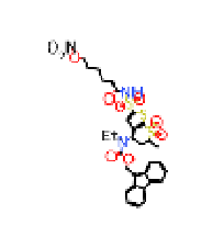 CCN(C(=O)OCC1c2ccccc2-c2ccccc21)[C@H]1CC(C)S(=O)(=O)c2sc(S(=O)(=O)NC(=O)CCCCCO[N+](=O)[O-])cc21